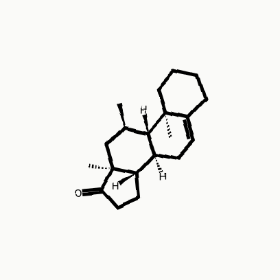 C[C@@H]1C[C@]2(C)C(=O)CC[C@H]2[C@@H]2CC=C3CCCC[C@]3(C)[C@H]21